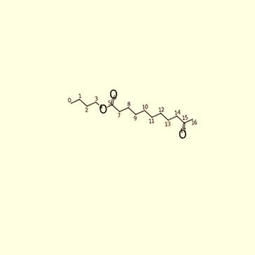 CCCCOC(=O)CCCCCCCCC(C)=O